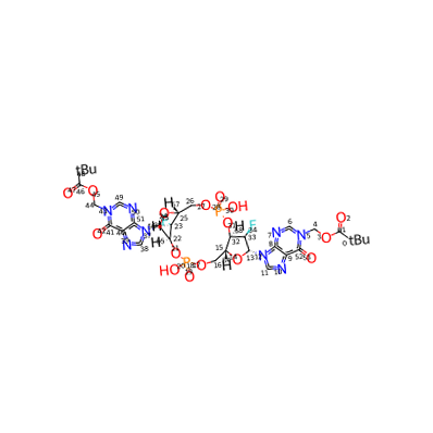 CC(C)(C)C(=O)OCn1cnc2c(ncn2[C@@H]2O[C@@H]3COP(=O)(O)O[C@@H]4[C@@H](F)[C@@H](COP(=O)(O)O[C@H]3[C@H]2F)O[C@H]4n2cnc3c(=O)n(COC(=O)C(C)(C)C)cnc32)c1=O